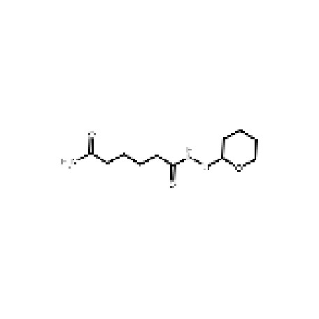 NC(=O)CCCCC(=O)NOC1CCCCO1